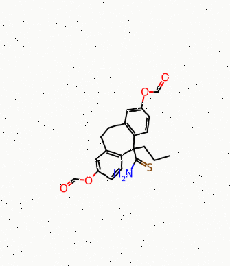 CCCC1(C(N)=S)c2ccc(OC=O)cc2CCc2cc(OC=O)ccc21